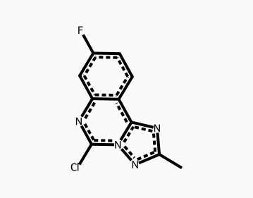 Cc1nc2c3ccc(F)cc3nc(Cl)n2n1